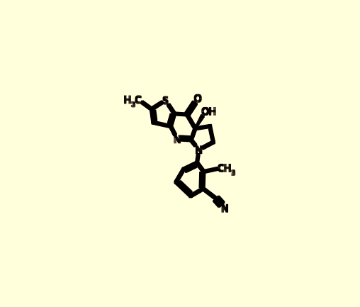 Cc1cc2c(s1)C(=O)[C@]1(O)CCN(c3cccc(C#N)c3C)C1=N2